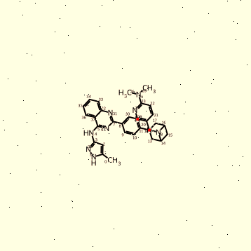 Cc1cc(Nc2nc(-c3ccc(N4CC5CC(C4)N5Cc4ccc(N(C)C)nc4)nc3)nc3ccccc23)n[nH]1